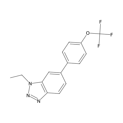 CCn1nnc2ccc(-c3ccc(OC(F)(F)F)cc3)cc21